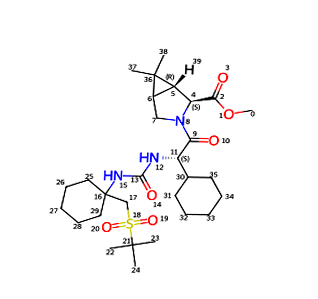 COC(=O)[C@@H]1[C@@H]2C(CN1C(=O)[C@@H](NC(=O)NC1(CS(=O)(=O)C(C)(C)C)CCCCC1)C1CCCCC1)C2(C)C